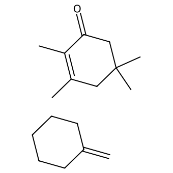 C=C1CCCCC1.CC1=C(C)C(=O)CC(C)(C)C1